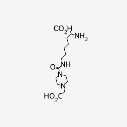 NC(CCCCCNC(=O)N1CCN(CC(=O)O)CC1)C(=O)O